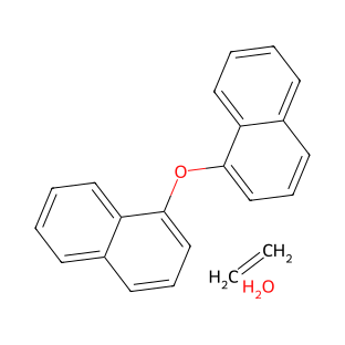 C=C.O.c1ccc2c(Oc3cccc4ccccc34)cccc2c1